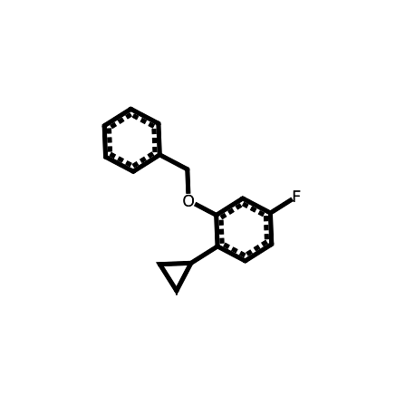 Fc1ccc(C2[CH]C2)c(OCc2ccccc2)c1